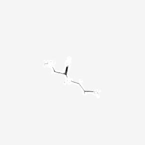 O=C(CS)OCCBr